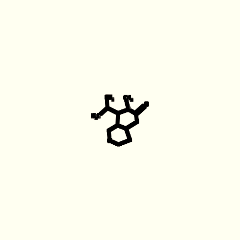 CC(C)C1C2COCCC2CC(=O)N1C